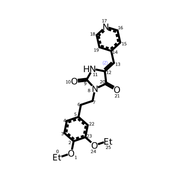 CCOc1ccc(CCN2C(=O)N/C(=C\c3ccncc3)C2=O)cc1OCC